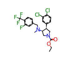 CCOC(=O)N1C[C@H](c2ccc(Cl)c(Cl)c2)[C@H](N(C)Cc2ccc(C(F)(F)F)c(F)c2)C1